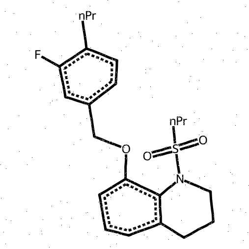 CCCc1ccc(COc2cccc3c2N(S(=O)(=O)CCC)CCC3)cc1F